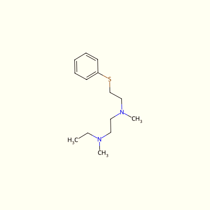 CCN(C)CCN(C)CCSc1ccccc1